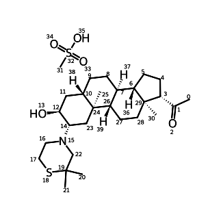 CC(=O)[C@H]1CC[C@H]2[C@@H]3CC[C@H]4C[C@H](O)[C@@H](N5CCSC(C)(C)C5)C[C@]4(C)[C@H]3CC[C@]12C.CS(=O)(=O)O